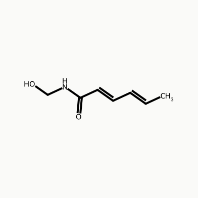 CC=CC=CC(=O)NCO